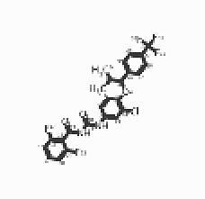 CC(C)C(Oc1ccc(NC(=O)NC(=O)c2c(F)cccc2F)cc1Cl)c1ccc(C(F)(F)F)cc1